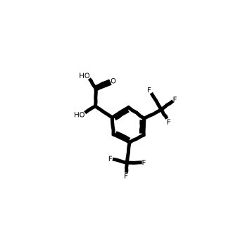 O=C(O)C(O)c1cc(C(F)(F)F)cc(C(F)(F)F)c1